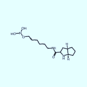 O=C(NCCCCCCON(O)O)C1C[C@@H]2CCC[C@@H]2N1